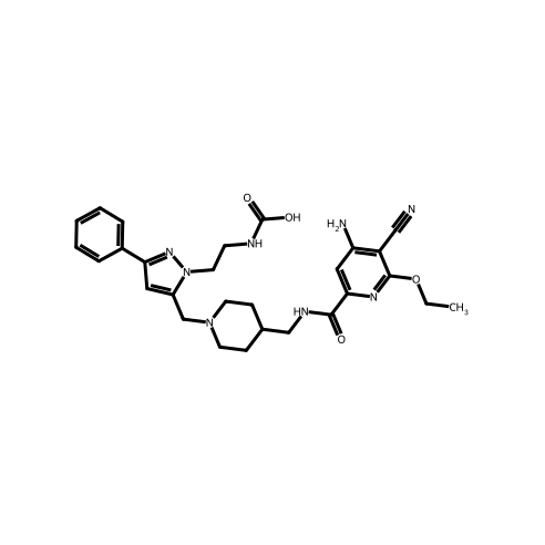 CCOc1nc(C(=O)NCC2CCN(Cc3cc(-c4ccccc4)nn3CCNC(=O)O)CC2)cc(N)c1C#N